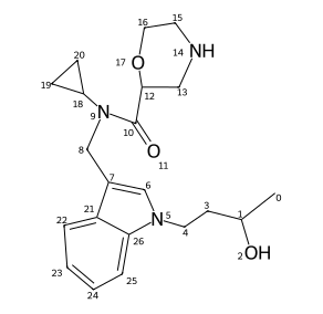 CC(O)CCn1cc(CN(C(=O)C2CNCCO2)C2CC2)c2ccccc21